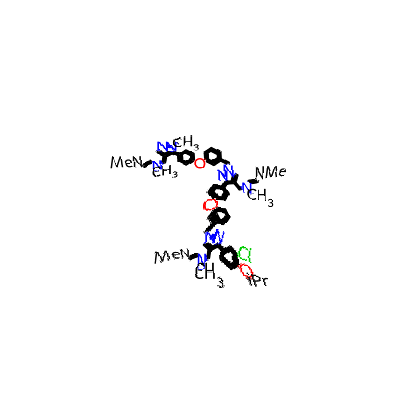 CNCCN(C)Cc1cn(Cc2cccc(Oc3ccc(-c4c(CN(C)CCNC)cnn4C)cc3)c2)nc1-c1ccc(Oc2cccc(Cn3cc(CN(C)CCNC)c(-c4ccc(OC(C)C)c(Cl)c4)n3)c2)cc1